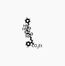 CCOC(=O)CC(CCCNC(=O)c1csc(NC(=O)NCc2ccccc2)n1)c1ccccc1